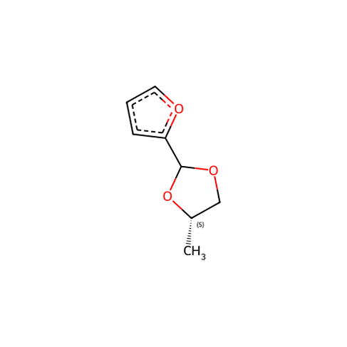 C[C@H]1COC(c2ccco2)O1